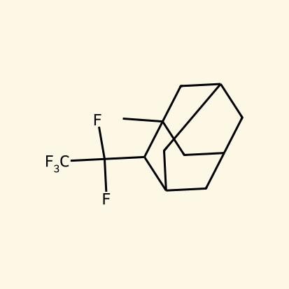 CC12CC3CC(CC(C3)C1C(F)(F)C(F)(F)F)C2